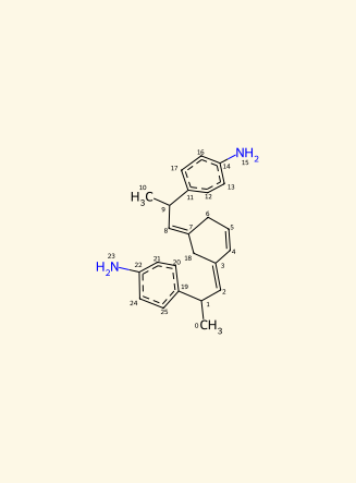 CC(C=C1C=CCC(=CC(C)c2ccc(N)cc2)C1)c1ccc(N)cc1